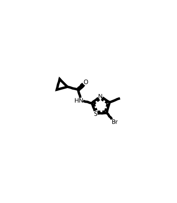 Cc1nc(NC(=O)C2CC2)sc1Br